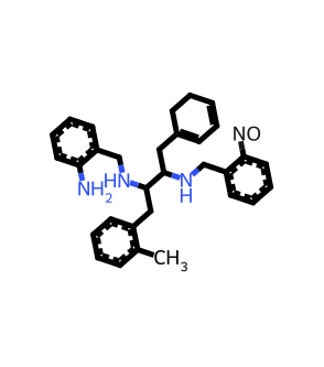 Cc1ccccc1CC(NCc1ccccc1N)C(CC1=CC=CCC1)NCc1ccccc1N=O